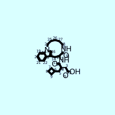 O=C(O)C[C@@H](CC1CCC1)C(=O)N[C@H]1Cc2cn(c3ccccc23)CCCCCNC1=O